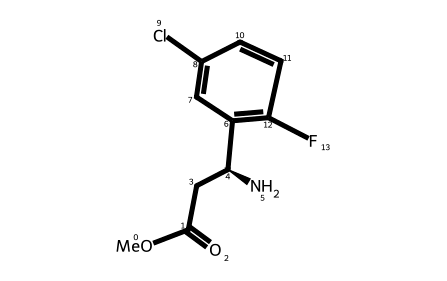 COC(=O)C[C@H](N)c1cc(Cl)ccc1F